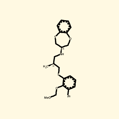 COCOc1c(SC[C@@H](C)CN[C@@H]2COc3ccccc3SC2)cccc1C(C)C